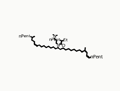 CCCCC/C=C\CC(C)CCCCCCCCCC(CCCCCCCC/C=C\CCC(C)CCCCC)N(CCCN(C)C)C(=O)C(CC)CCCCC